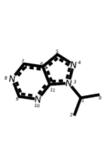 CC(C)n1ncc2cncnc21